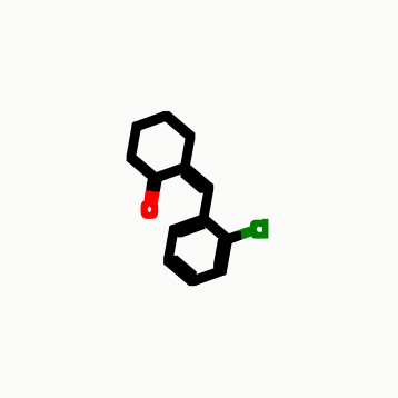 O=C1CCCCC1=Cc1ccccc1Cl